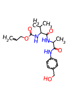 C=CCOC(=O)NC(C(=O)NC(C)C(=O)Nc1ccc(CO)cc1)C(C)C